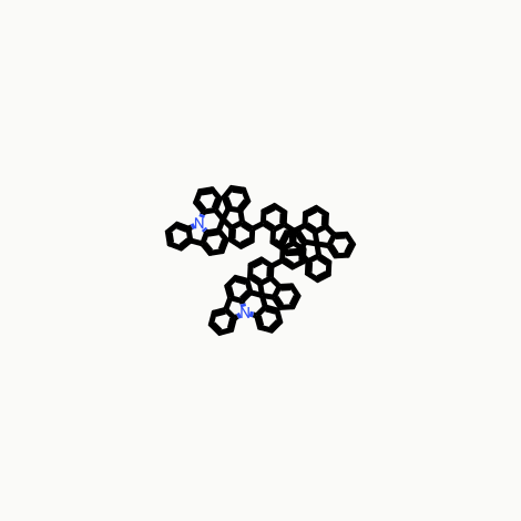 c1ccc2c(c1)-c1ccccc1C21c2ccccc2-c2cccc(-c3c4cccc(-c5cccc6c5-c5ccccc5C65c6ccccc6-n6c7ccccc7c7cccc5c76)c4cc4c(-c5cccc6c5-c5ccccc5C65c6ccccc6-n6c7ccccc7c7cccc5c76)cccc34)c21